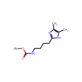 Cc1nc(CCCCNC(=O)OC(C)(C)C)[nH]c1C